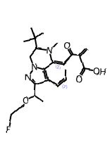 C=C(C(=O)O)C(=O)/C=C1/c2c(/C=C\C)c(C(C)OCCF)nn2CC(C(C)(C)C)N1C